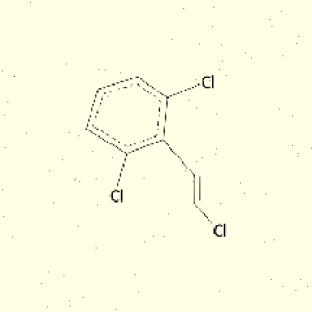 ClC=Cc1c(Cl)cccc1Cl